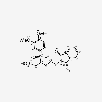 COc1ccc(S(=O)(=O)C(CCCN2C(=O)c3ccccc3C2=O)CC(=O)O)cc1OC